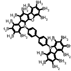 Bc1c(B)c(B)c2c(oc3c2c(B)c(B)c2c4c(B)c(B)c(B)c(B)c4n(-c4ccc(-c5ccc(-n6c7c(B)c(B)c(B)c(B)c7c7c(B)c(B)c(B)c(B)c76)cc5)cc4)c32)c1B